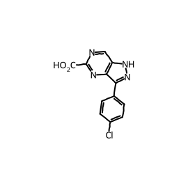 O=C(O)c1ncc2[nH]nc(-c3ccc(Cl)cc3)c2n1